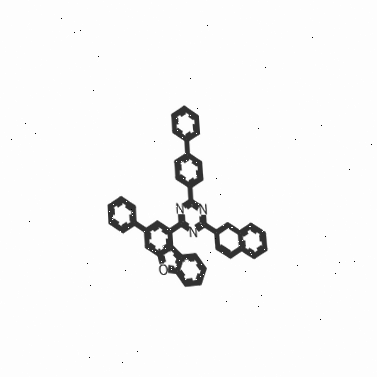 C1=CC(c2nc(-c3ccc(-c4ccccc4)cc3)nc(-c3cc(-c4ccccc4)cc4oc5ccccc5c34)n2)Cc2ccccc21